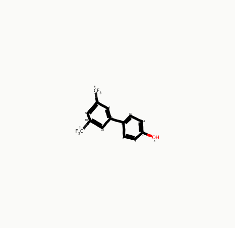 Oc1ccc(-c2cc(C(F)(F)F)cc(C(F)(F)F)c2)cc1